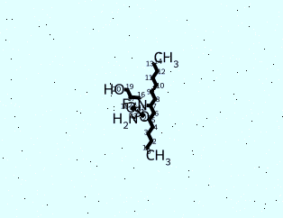 CCCCCCCC(CCCCCCC)N(CC(F)CO)S(N)(=O)=O